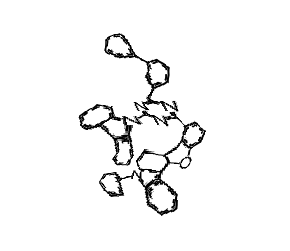 C1=CC2c3c(cccc3-c3nc(-c4cccc(-c5ccccc5)c4)nc(-n4c5ccccc5c5ccccc54)n3)OC2c2c1n(-c1ccccc1)c1ccccc21